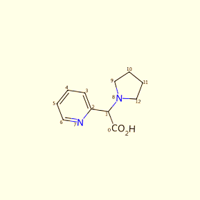 O=C(O)C(c1ccccn1)N1CCCC1